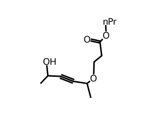 CCCOC(=O)CCOC(C)C#CC(C)O